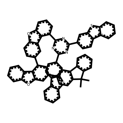 CC1(C)c2ccccc2-c2cc(-c3cc(-c4ccc5oc6cccc(-c7nc(-c8ccc9c(c8)sc8ccccc89)nc(-c8ccc9c(c8)sc8ccccc89)n7)c6c5c4)c4c(c3)oc3ccccc34)ccc21